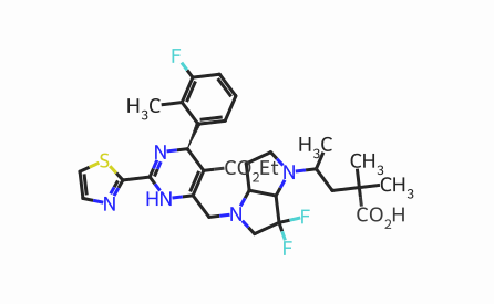 CCOC(=O)C1=C(CN2CC(F)(F)C3C2CCN3C(C)CC(C)(C)C(=O)O)NC(c2nccs2)=N[C@H]1c1cccc(F)c1C